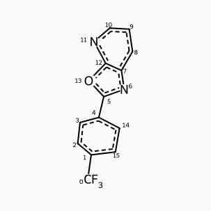 FC(F)(F)c1ccc(-c2nc3cccnc3o2)cc1